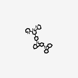 c1ccc(-c2cc(-c3ccc(-n4c5ccccc5c5cc(-n6c7ccccc7c7ccccc76)ccc54)cc3)cc(-c3ccccn3)n2)nc1